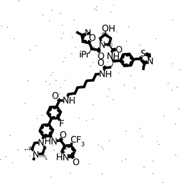 Cc1cc([C@H](C(=O)N2C[C@H](O)C[C@H]2C(=O)N[C@@H](CC(=O)NCCCCCCCNC(=O)c2ccc(-c3ccc(N4C[C@@H](C)N(C)[C@@H](C)C4)c(NC(=O)c4c[nH]c(=O)cc4C(F)(F)F)c3)c(F)c2)c2ccc(-c3scnc3C)cc2)C(C)C)on1